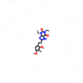 CCn1c(=O)c2[nH]c(/C=C/c3ccc(OC)c(C)c3OC)nc2n(CC)c1=O